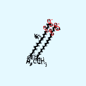 CC(C)CCCCCCCCCCCCCC=COC(=O)CCC(=O)[O-].CC(C)CCCCCCCCCCCCCC=COC(=O)CCC(=O)[O-].[K+].[K+]